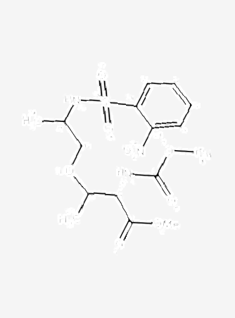 COC(=O)[C@@H](NC(=O)OC(C)(C)C)C(C)OCC(C)NS(=O)(=O)c1ccccc1[N+](=O)[O-]